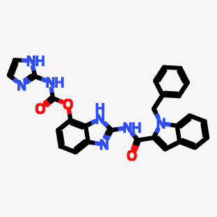 O=C(Nc1ncc[nH]1)Oc1cccc2nc(NC(=O)c3cc4ccccc4n3Cc3ccccc3)[nH]c12